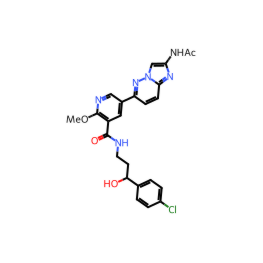 COc1ncc(-c2ccc3nc(NC(C)=O)cn3n2)cc1C(=O)NCCC(O)c1ccc(Cl)cc1